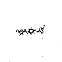 O=C1OC(CSc2ccc(SCC3CSC(=O)O3)cc2)CS1